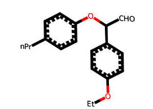 CCCc1ccc(OC(C=O)c2ccc(OCC)cc2)cc1